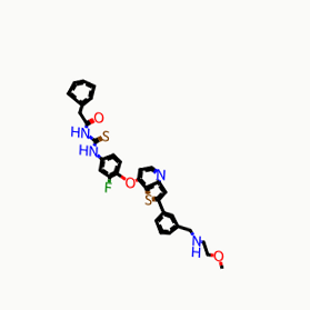 COCCNCc1cccc(-c2cc3nccc(Oc4ccc(NC(=S)NC(=O)Cc5ccccc5)cc4F)c3s2)c1